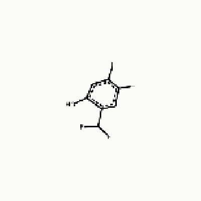 Oc1cc(F)c(F)cc1C(F)F